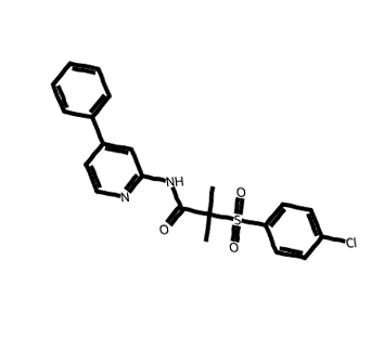 CC(C)(C(=O)Nc1cc(-c2ccccc2)ccn1)S(=O)(=O)c1ccc(Cl)cc1